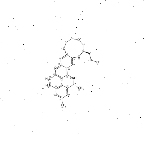 CCOC[C@@H]1COCCOc2cc3nc(C)nc(N[C@H](C)c4cc(N)cc(C(F)(F)F)c4)c3cc2O1